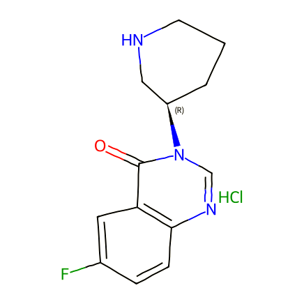 Cl.O=c1c2cc(F)ccc2ncn1[C@@H]1CCCNC1